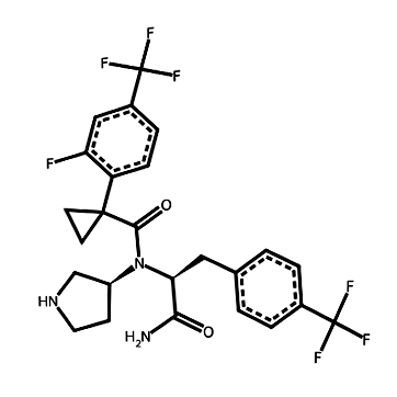 NC(=O)[C@H](Cc1ccc(C(F)(F)F)cc1)N(C(=O)C1(c2ccc(C(F)(F)F)cc2F)CC1)[C@H]1CCNC1